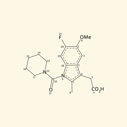 COc1cc2c(CC(=O)O)c(C)n(C(=O)N3CCCCC3)c2cc1F